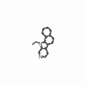 CCn1c2cnccc2c2ccc3ccccc3c21